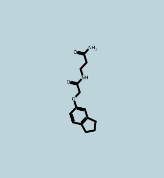 NC(=O)CCNC(=O)COc1ccc2c(c1)CCC2